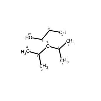 CC(C)OC(C)C.OCCO